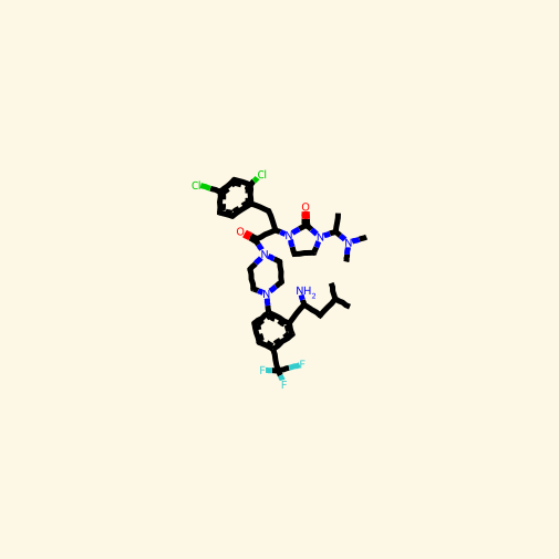 CC(C)CC(N)c1cc(C(F)(F)F)ccc1N1CCN(C(=O)C(Cc2ccc(Cl)cc2Cl)N2CCN(C(C)N(C)C)C2=O)CC1